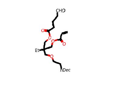 C=CC(=O)OCC(CC)(COCCCCCCCCCCCC)COC(=O)CCCC=O